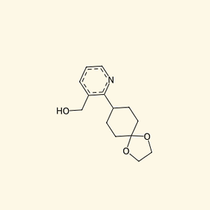 OCc1cccnc1C1CCC2(CC1)OCCO2